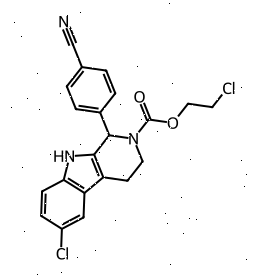 N#Cc1ccc(C2c3[nH]c4ccc(Cl)cc4c3CCN2C(=O)OCCCl)cc1